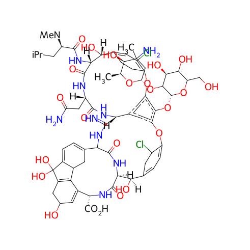 CN[C@H](CC(C)C)C(=O)N[C@H]1C(=O)N[C@@H](CC(N)=O)C(=O)N[C@H]2C(=N)NC3C(=O)N[C@H](C(=O)N[C@H](C(=O)O)C4=CC(O)CC5=C4C4CC3=CC=C4C5(O)O)[C@H](O)C3=CC=C(Oc4cc2cc(c4O[C@H]2OC(CO)C(O)[C@H](O)C2O[C@H]2CC(C)(N)[C@H](O)[C@H](C)O2)OC2=C(Cl)C=C(CC2)[C@H]1O)C(Cl)C3